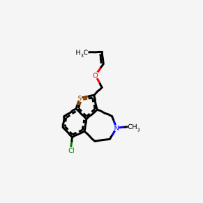 C/C=C\OCc1sc2ccc(Cl)c3c2c1CN(C)CC3